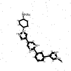 CC(=O)N[C@H]1CC[C@@H](n2cc(-c3cnc(-c4cccc(-c5cnn(C)c5)c4)nc3)cn2)CC1